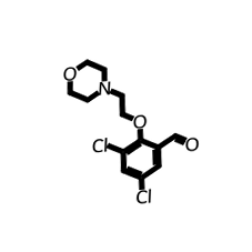 O=Cc1cc(Cl)cc(Cl)c1OCCN1CCOCC1